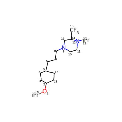 CC(C)OC1CCC(CCCN2CCN(C(C)C)C(C(F)(F)F)C2)CC1